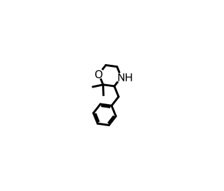 CC1(C)OCCNC1Cc1ccccc1